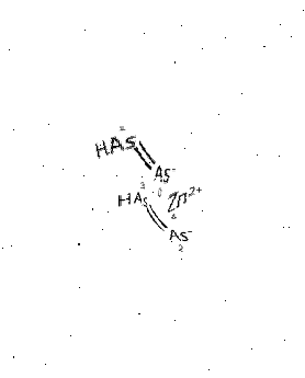 [As-]=[AsH].[As-]=[AsH].[Zn+2]